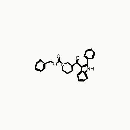 O=C(c1c(-c2ccccc2)[nH]c2ccccc12)C1CCCN(C(=O)OCc2ccccc2)C1